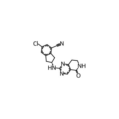 N#Cc1cc(Cl)cc2c1C[C@@H](Nc1ncc3c(n1)CCNC3=O)C2